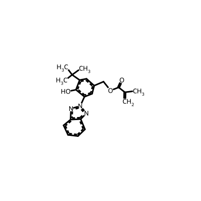 C=C(C)C(=O)OCc1cc(-n2nc3ccccc3n2)c(O)c(C(C)(C)C)c1